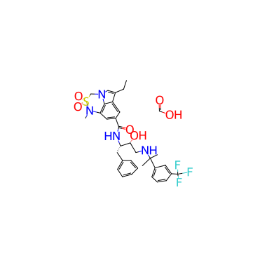 CCc1cn2c3c(cc(C(=O)N[C@@H](Cc4ccccc4)[C@H](O)CNC(C)(C)c4cccc(C(F)(F)F)c4)cc13)N(C)S(=O)(=O)C2.O=CO